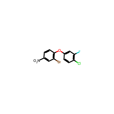 O=[N+]([O-])c1ccc(Oc2ccc(Cl)c(F)c2)c(Br)c1